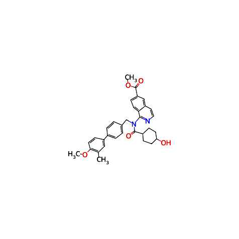 COC(=O)c1ccc2c(N(Cc3ccc(-c4ccc(OC)c(C)c4)cc3)C(=O)C3CCC(O)CC3)nccc2c1